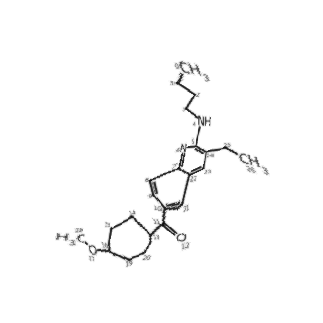 CCCCNc1nc2ccc(C(=O)C3CCC(OC)CC3)cc2cc1CC